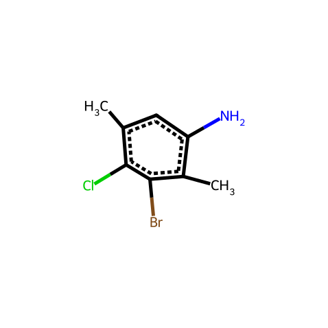 Cc1cc(N)c(C)c(Br)c1Cl